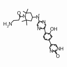 CN(c1cnc(-c2ccc(-c3cnc(=O)[nH]c3)cc2O)cn1)C1CC(C)(C)N(C(=O)CCN)C(C)(C)C1